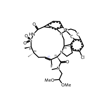 COC(CN(C)C(=O)[C@H]1/C(F)=C/C[C@H](C)[C@@H](C)S(=O)(=O)NC(=O)c2ccc3c(c2)N2CCCCc4cc(Cl)cc(c4CO3)[C@]3(CCCN13)C2)OC